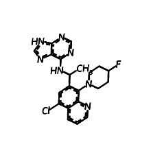 CC(Nc1ncnc2[nH]cnc12)c1cc(Cl)c2cccnc2c1N1CCC(F)CC1